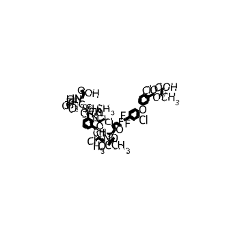 CC1(C)OC(c2ccco2)CN1C(=O)C(Cl)Cl.CCc1cccc(CC)c1N(COC)C(=O)CCl.C[C@H](OC(=O)c1cc(Oc2ccc(C(F)(F)F)cc2Cl)ccc1Cl)C(=O)O.C[S+](C)C.O=C(O)CNCP(=O)([O-])O